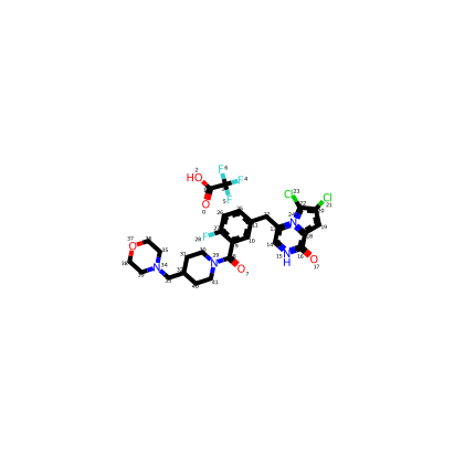 O=C(O)C(F)(F)F.O=C(c1cc(Cc2c[nH]c(=O)c3cc(Cl)c(Cl)n23)ccc1F)N1CCC(CN2CCOCC2)CC1